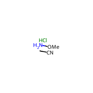 CC#N.CON.Cl